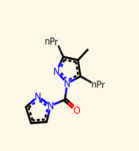 CCCc1nn(C(=O)n2cccn2)c(CCC)c1C